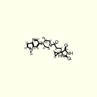 C[C@H]1CN(C(=O)CC[C@]2(C3CC3)NC(=O)NC2=O)CCN1c1cnc2ccn(C)c2c1